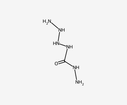 NNNNC(=O)NN